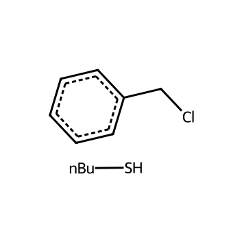 CCCCS.ClCc1ccccc1